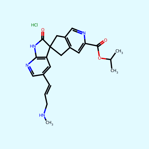 CNCC=Cc1cnc2c(c1)C1(Cc3cnc(C(=O)OC(C)C)cc3C1)C(=O)N2.Cl